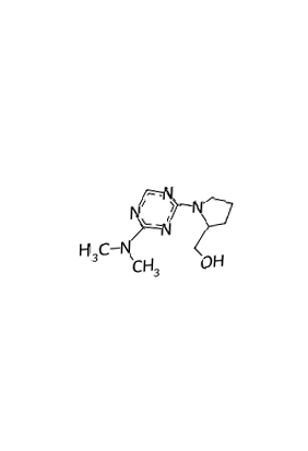 CN(C)c1ncnc(N2CCCC2CO)n1